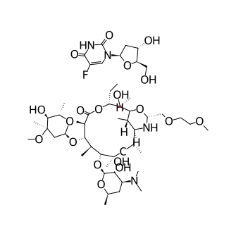 CC[C@H]1OC(=O)[C@H](C)[C@@H](O[C@H]2C[C@@](C)(OC)[C@@H](O)[C@H](C)O2)[C@H](C)[C@@H](O[C@@H]2O[C@H](C)C[C@H](N(C)C)[C@H]2O)[C@](C)(O)C[C@@H](C)[C@@H]2N[C@@H](COCCOC)O[C@@H]([C@H]2C)[C@]1(C)O.O=c1[nH]c(=O)n([C@H]2C[C@H](O)[C@@H](CO)O2)cc1F